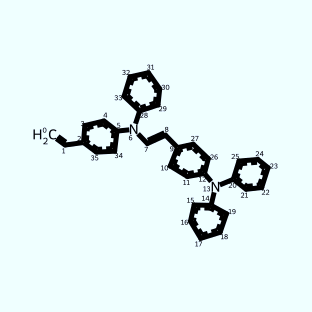 C=Cc1ccc(N(C=Cc2ccc(N(c3ccccc3)c3ccccc3)cc2)c2ccccc2)cc1